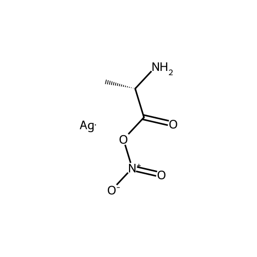 C[C@H](N)C(=O)O[N+](=O)[O-].[Ag]